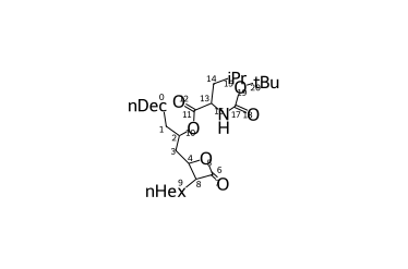 CCCCCCCCCCCC(CC1OC(=O)C1CCCCCC)OC(=O)C(CC(C)C)NC(=O)OC(C)(C)C